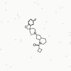 O=C(C1CCC1)N1CCCC2CC(N3CCC4(CC3)COc3ccc(F)cc34)CC21